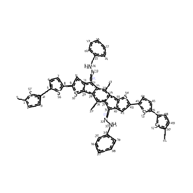 Cc1ccc(-c2ccc(-c3cc4/c(=N\Nc5ccccc5)c5c(C)c6c(c(C)c5c4s3)/c(=N/Nc3ccccc3)c3cc(-c4ccc(-c5ccc(C)s5)s4)sc36)s2)s1